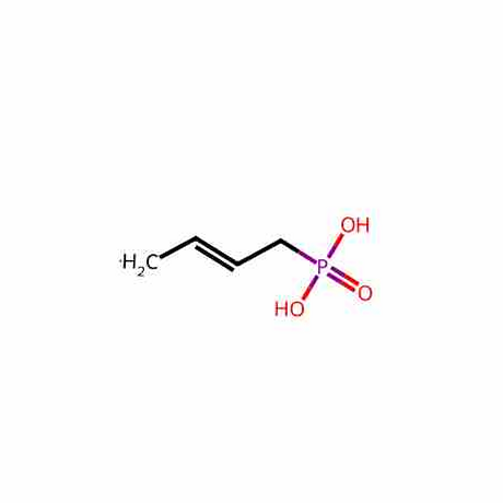 [CH2]C=CCP(=O)(O)O